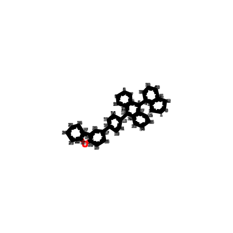 c1ccc2c(-c3c4ccccc4c(-c4ccc(-c5ccc6oc7ccccc7c6c5)cc4)c4ccccc34)cccc2c1